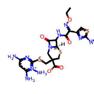 CCON=C(C(=O)NC1C(=O)N2CC(CSc3nc(N)cc(N)[n+]3N)(C(=O)[O-])CS[C@H]12)c1csc(N)n1